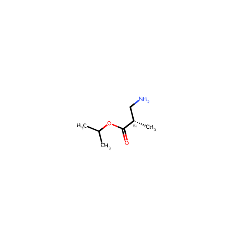 CC(C)OC(=O)[C@@H](C)CN